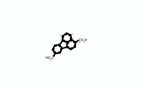 O=C(O)c1ccc2c(c1)-c1ccc(C(=O)O)c3cccc-2c13